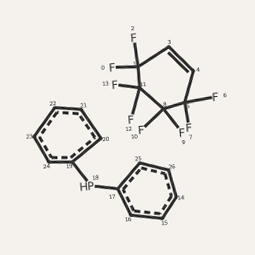 FC1(F)C=CC(F)(F)C(F)(F)C1(F)F.c1ccc(Pc2ccccc2)cc1